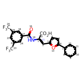 O=C(O)/C(=C\c1ccc(-c2ccccc2)o1)NC(=O)c1cc(C(F)(F)F)cc(C(F)(F)F)c1